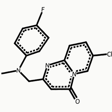 CN(Cc1cc(=O)n2cc(Cl)ccc2n1)c1ccc(F)cc1